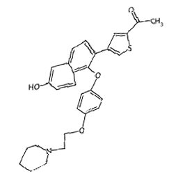 CC(=O)c1cc(-c2ccc3cc(O)ccc3c2Oc2ccc(OCCN3CCCCC3)cc2)cs1